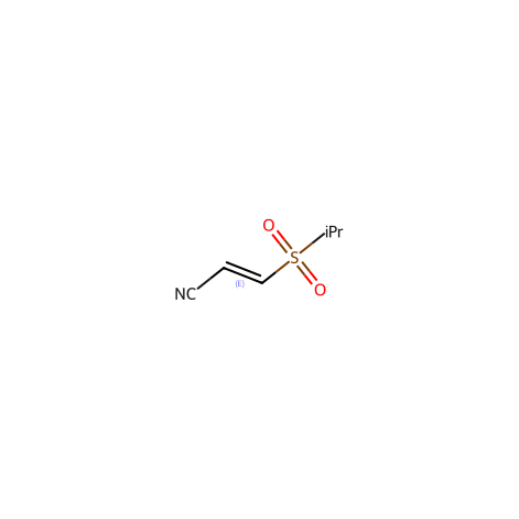 CC(C)S(=O)(=O)/C=C/C#N